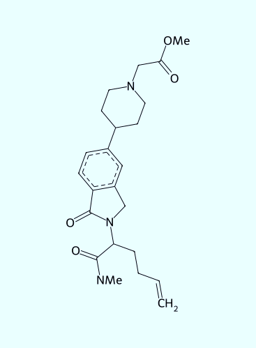 C=CCCC(C(=O)NC)N1Cc2cc(C3CCN(CC(=O)OC)CC3)ccc2C1=O